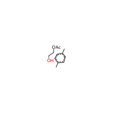 CC(=O)OCCO.Cc1ccc(C)cc1